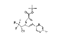 CC(C)(C)OC(=O)c1cc(-c2ccc(F)cn2)cc(C(O)C(F)(F)F)c1